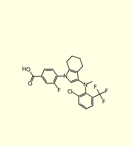 CN(c1cn(-c2ccc(C(=O)O)cc2F)c2c1CCCC2)c1c(Cl)cccc1C(F)(F)F